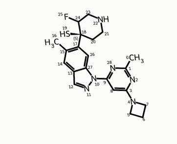 Cc1nc(N2CCC2)cc(-n2ncc3cc(C)c([C@@]4(S)CCNCC4F)cc32)n1